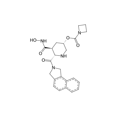 O=C(NO)[C@H]1C[C@H](OC(=O)N2CCC2)CN[C@@H]1C(=O)N1Cc2ccc3ccccc3c2C1